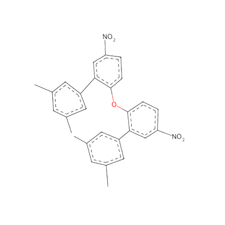 Cc1cc(C)cc(-c2cc([N+](=O)[O-])ccc2Oc2ccc([N+](=O)[O-])cc2-c2cc(C)cc(C)c2)c1